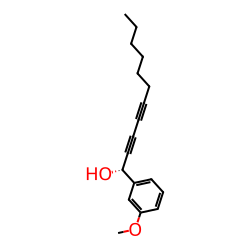 CCCCCCC#CC#C[C@@H](O)c1cccc(OC)c1